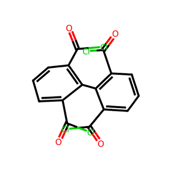 O=C(Cl)c1cccc(C(=O)Cl)c1-c1c(C(=O)Cl)cccc1C(=O)Cl